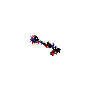 Cc1cc(C(=O)N2CCC(C(=O)O[C@H]3CN4CCC3CC4)(c3ccccc3)CC2)ccc1OCCCCCNC[C@H](O)c1ccc(O)c2[nH]c(=O)ccc12